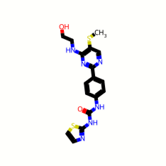 CSc1cnc(-c2ccc(NC(=O)Nc3nccs3)cc2)nc1NCCO